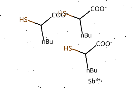 CCCCC(S)C(=O)[O-].CCCCC(S)C(=O)[O-].CCCCC(S)C(=O)[O-].[Sb+3]